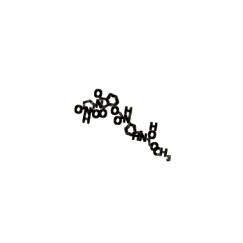 COCC(O)NCc1cccc(NC(=O)COc2cccc3c2C(=O)N(C2CCC(=O)NC2=O)C3=O)c1